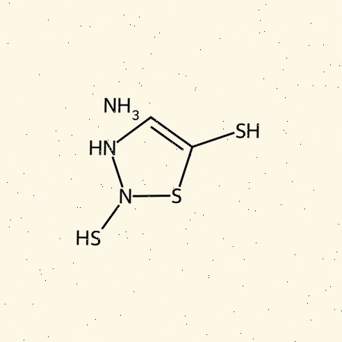 N.SC1=CNN(S)S1